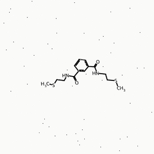 CSCCNC(=O)c1cccc(C(=O)NCCSC)c1